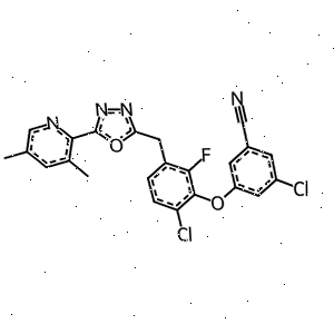 Cc1cnc(-c2nnc(Cc3ccc(Cl)c(Oc4cc(Cl)cc(C#N)c4)c3F)o2)c(C)c1